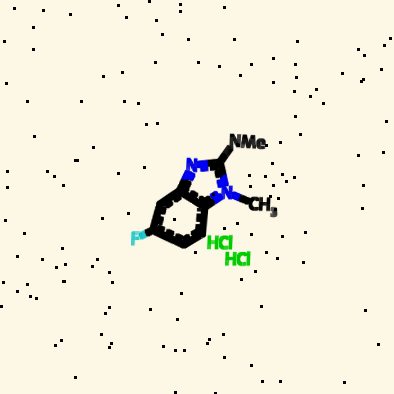 CNc1nc2cc(F)ccc2n1C.Cl.Cl